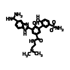 CN(C)CCNC(=O)c1cc(-c2nc3cc(C(=N)N)ccc3[nH]2)c(O)c(-c2cc(S(N)(=O)=O)ccc2O)c1